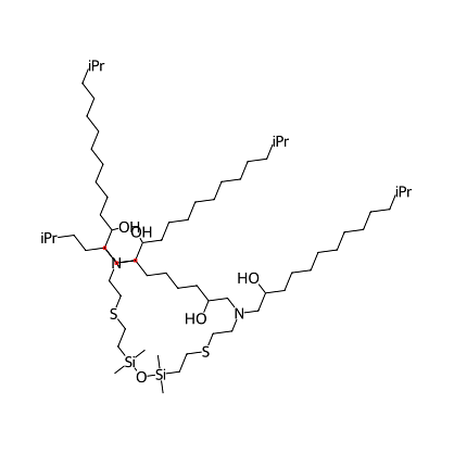 CC(C)CCCCCCCCCC(O)CN(CCSCC[Si](C)(C)O[Si](C)(C)CCSCCN(CC(O)CCCCCCCCCC(C)C)CC(O)CCCCCCCCCC(C)C)CC(O)CCCCCCCCCC(C)C